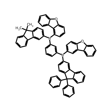 CC1(C)c2ccccc2-c2cc(N(c3cccc(N(c4ccc5c(c4)-c4ccccc4C5(c4ccccc4)c4ccccc4)c4ccc5oc6ccccc6c5c4)c3)c3cccc4oc5ccccc5c34)ccc21